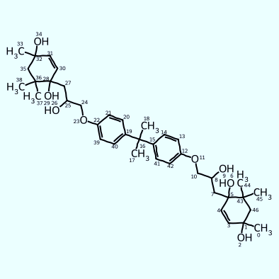 CC1(O)C=CC(O)(CC(O)COc2ccc(C(C)(C)c3ccc(OCC(O)CC4(O)C=CC(C)(O)CC4(C)C)cc3)cc2)C(C)(C)C1